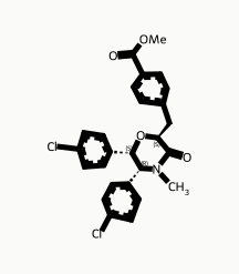 COC(=O)c1ccc(C[C@@H]2O[C@@H](c3ccc(Cl)cc3)[C@@H](c3ccc(Cl)cc3)N(C)C2=O)cc1